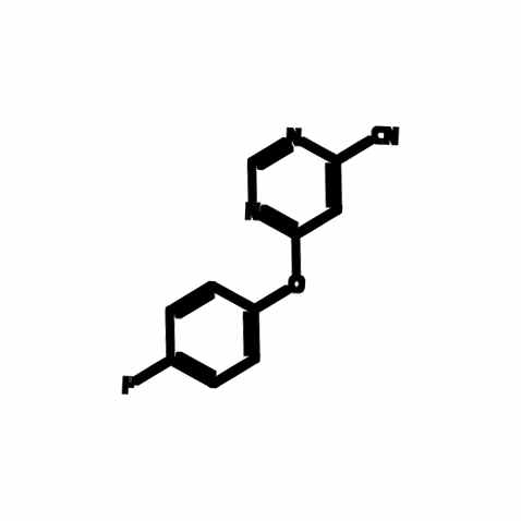 N#Cc1cc(Oc2ccc(F)cc2)ncn1